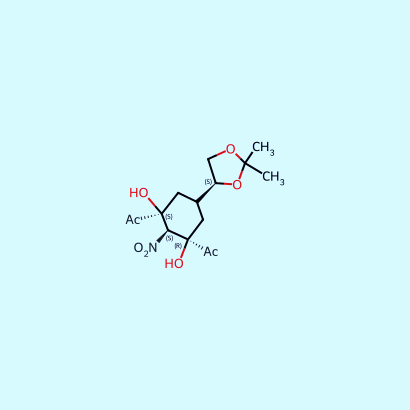 CC(=O)[C@]1(O)CC([C@H]2COC(C)(C)O2)C[C@](O)(C(C)=O)[C@H]1[N+](=O)[O-]